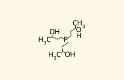 CC(O)CCP(CCC(C)O)CCC(C)O